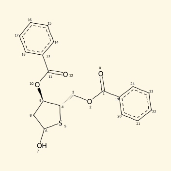 O=C(OC[C@@H]1SC(O)C[C@H]1OC(=O)c1ccccc1)c1ccccc1